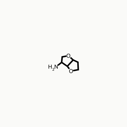 NC1COC2CCOC12